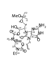 C=CCn1c(=O)n(C(COC(C)(C)OC)C(O)OC(=O)N(C)CCN(CC)C(=O)OC(C)(C)C)c2nc(N)[nH]c(=O)c21